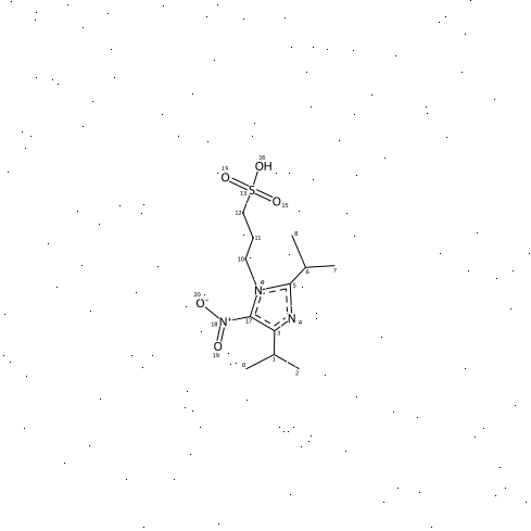 CC(C)c1nc(C(C)C)n(CCCS(=O)(=O)O)c1[N+](=O)[O-]